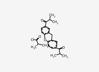 CC(C)C(=O)Cl.CC(C)C(=O)c1ccc2c(c1)Cc1cc(C(=O)C(C)C)ccc1O2